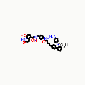 NC1CCC(N(C(=O)O)c2cc(CCCCC(=O)Nc3ccc(CNC[C@H](O)c4ccc(O)c5[nH]c(=O)ccc45)cc3)ccc2-c2ccccc2)CC1